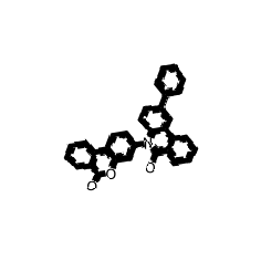 O=c1oc2cc(-n3c(=O)c4ccccc4c4cc(-c5ccccc5)ccc43)ccc2c2ccccc12